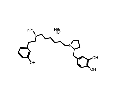 Br.Br.CCCN(CCCCCCN1CCC[C@H]1Cc1ccc(O)c(O)c1)CCc1cccc(O)c1